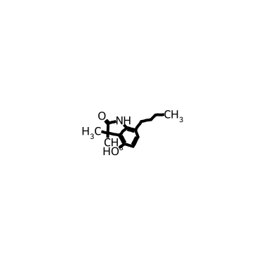 CCCCc1ccc(O)c2c1NC(=O)C2(C)C